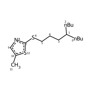 CCCCC(CCCC)CCCSc1ncc(C)s1